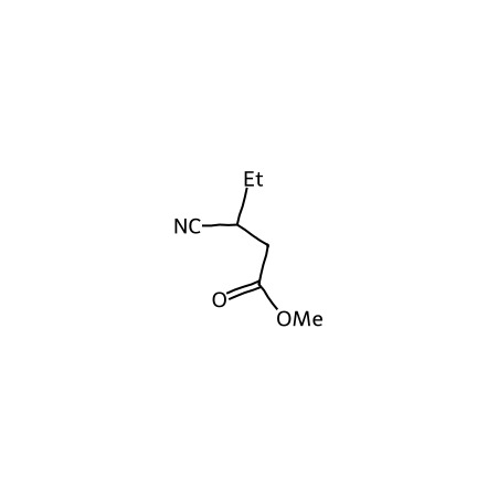 CCC(C#N)CC(=O)OC